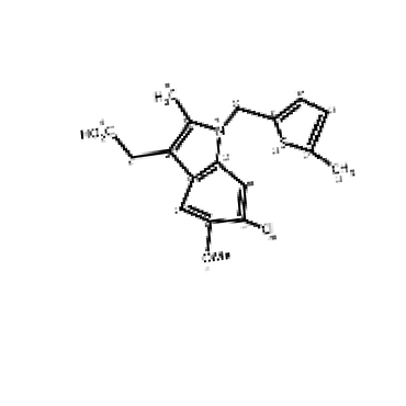 COc1cc2c(CC(=O)O)c(C)n(Cc3ccc(C)s3)c2cc1Cl